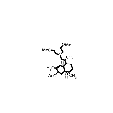 COCCN(CCOC)C[C@@H](C)[C@@H]1CC[C@@H](C)[C@]2(O)[C][C@@H](OC(C)=O)C(C)=C[C@H]12